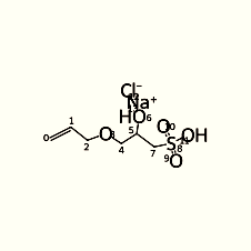 C=CCOCC(O)CS(=O)(=O)O.[Cl-].[Na+]